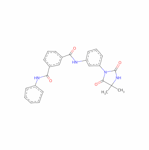 CC1(C)NC(=O)N(c2cccc(NC(=O)c3cccc(C(=O)Nc4ccccc4)c3)c2)C1=O